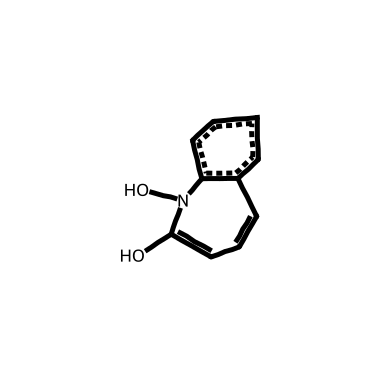 OC1=CC=Cc2ccccc2N1O